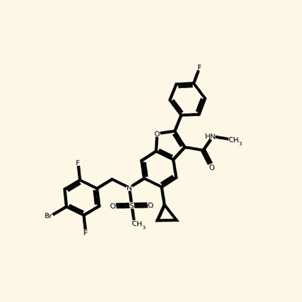 CNC(=O)c1c(-c2ccc(F)cc2)oc2cc(N(Cc3cc(F)c(Br)cc3F)S(C)(=O)=O)c(C3CC3)cc12